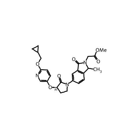 COC(=O)CN1C(=O)c2cc(N3CC[C@@H](Oc4ccc(OCC5CC5)nc4)C3=O)ccc2C1C